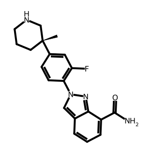 C[C@@]1(c2ccc(-n3cc4cccc(C(N)=O)c4n3)c(F)c2)CCCNC1